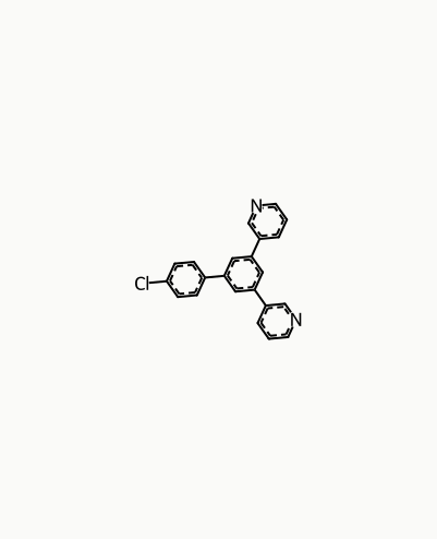 Clc1ccc(-c2cc(-c3cccnc3)cc(-c3cccnc3)c2)cc1